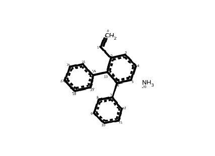 C=Cc1cccc(-c2ccccc2)c1-c1ccccc1.N